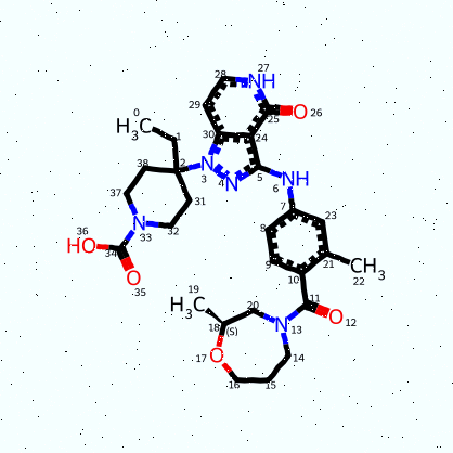 CCC1(n2nc(Nc3ccc(C(=O)N4CCCO[C@@H](C)C4)c(C)c3)c3c(=O)[nH]ccc32)CCN(C(=O)O)CC1